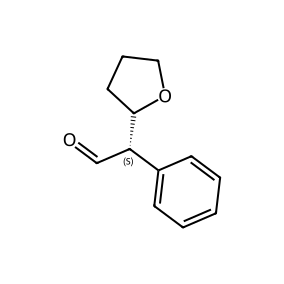 O=C[C@@H](c1ccccc1)C1CCCO1